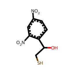 O=[N+]([O-])c1ccc(C(O)CS)c([N+](=O)[O-])c1